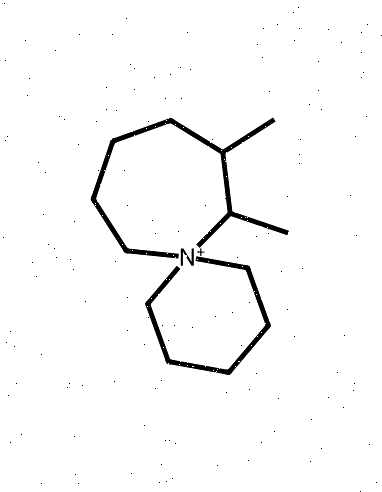 CC1CCCC[N+]2(CCCCC2)C1C